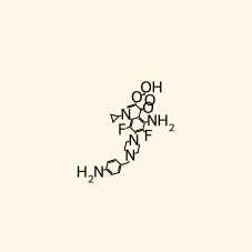 Nc1ccc(CN2CCN(c3c(F)c(N)c4c(=O)c(OC(=O)O)cn(C5CC5)c4c3F)CC2)cc1